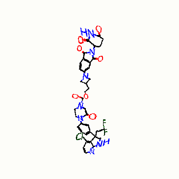 O=C1CCC(N2C(=O)c3ccc(N4CC(CCOC(=O)N5CCN(c6cccc(C7(CC(F)F)CNc8nccc(Cl)c87)c6)C(=O)C5)C4)cc3C2=O)C(=O)N1